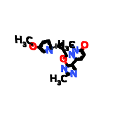 COc1ccc([C@@H]2CC2COc2nc(C)ncc2-c2ccc(=O)n(C)n2)nc1